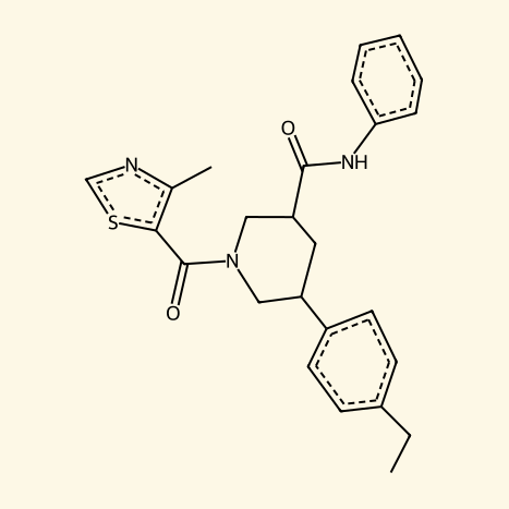 CCc1ccc(C2CC(C(=O)Nc3ccccc3)CN(C(=O)c3scnc3C)C2)cc1